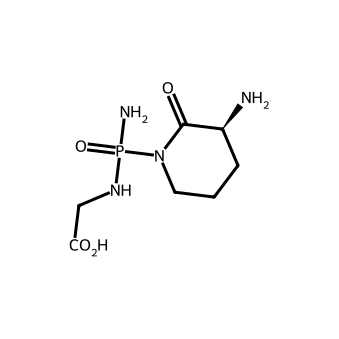 N[C@H]1CCCN(P(N)(=O)NCC(=O)O)C1=O